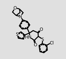 O=C1CC(c2ccc(N3CC4CC3CO4)cc2)(c2ccsc2)NC(=O)C1Sc1ccccc1Cl